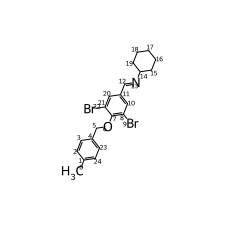 Cc1ccc(COc2c(Br)cc(C=NC3CCCCC3)cc2Br)cc1